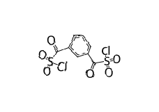 O=C(c1cccc(C(=O)S(=O)(=O)Cl)c1)S(=O)(=O)Cl